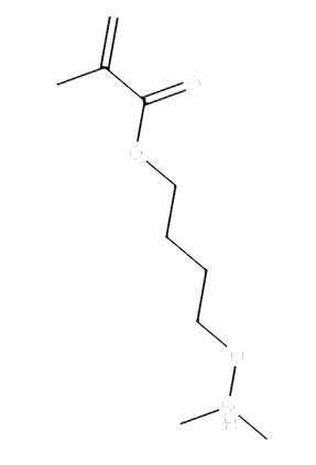 C=C(C)C(=O)OCCCCO[SiH](C)C